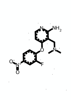 CN(C)Cc1c(Oc2ccc([N+](=O)[O-])cc2F)ccnc1N